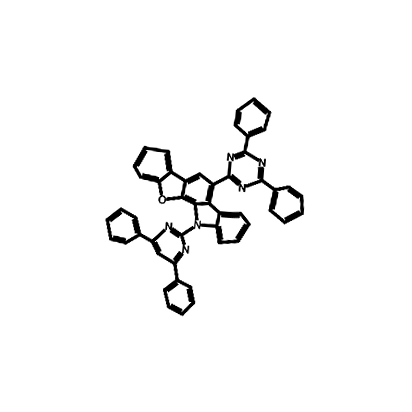 c1ccc(-c2cc(-c3ccccc3)nc(-n3c4ccccc4c4c(-c5nc(-c6ccccc6)nc(-c6ccccc6)n5)cc5c6ccccc6oc5c43)n2)cc1